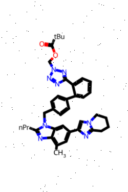 CCCc1nc2c(C)cc(-c3cn4c(n3)CCCC4)cc2n1Cc1ccc(-c2ccccc2-c2nnn(COC(=O)C(C)(C)C)n2)cc1